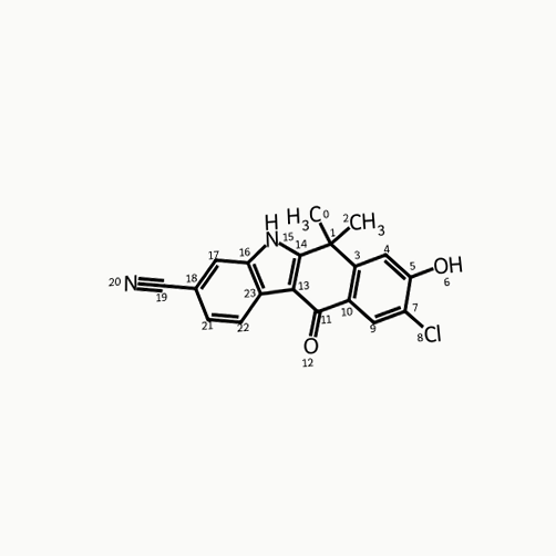 CC1(C)c2cc(O)c(Cl)cc2C(=O)c2c1[nH]c1cc(C#N)ccc21